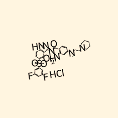 CN(CCN1CCCCC1)c1ccc(C(=O)Nc2n[nH]c3ccc(S(=O)(=O)c4cc(F)cc(F)c4)cc23)c([N+](=O)[O-])c1.Cl